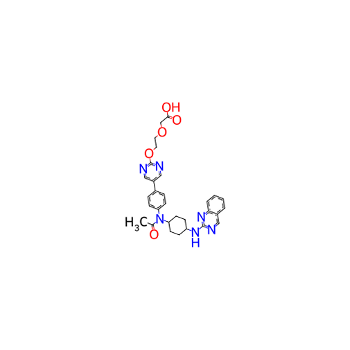 CC(=O)N(c1ccc(-c2cnc(OCCOCC(=O)O)nc2)cc1)C1CCC(Nc2ncc3ccccc3n2)CC1